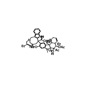 CCC1=C[C@@H]2CN(C1)Cc1c([nH]c3ccccc13)[C@@](C(=O)OC)(c1cc3c(cc1OC)N(C)[C@H]1C(O)(C(C)=O)[C@H](OC(C)=O)[C@]4(CC)C=CCN5CCC31[C@@H]54)C2